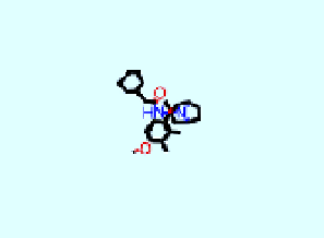 COc1ccc(C(C)N2C3CCC2CC(NC(=O)CC2CCCCC2)C3)c(C)c1C